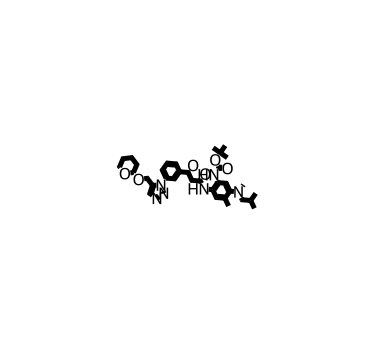 Cc1cc(NC(=O)CC(=O)c2cccc(-n3nncc3COC3CCCCO3)c2)c(NC(=O)OC(C)(C)C)cc1N(C)CC(C)C